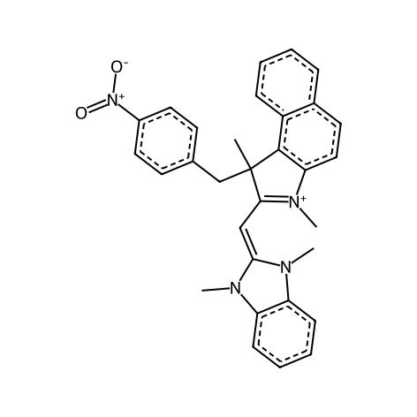 CN1C(=CC2=[N+](C)c3ccc4ccccc4c3C2(C)Cc2ccc([N+](=O)[O-])cc2)N(C)c2ccccc21